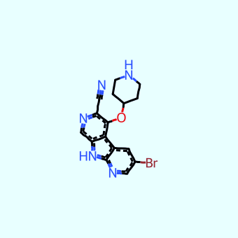 N#Cc1ncc2[nH]c3ncc(Br)cc3c2c1OC1CCNCC1